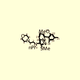 CCCN(CCN1CCOCC1)c1c(SC)nn2c(-c3c(C)cc(C)cc3OC)cccc12